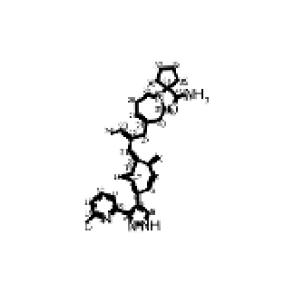 C=C1\C=C/C(c2c[nH]nc2-c2cccc(C)n2)=C/C=C/C1=C/C(=C\C)CC1=CCCN(C2(C(N)=O)CCCC2)CC1